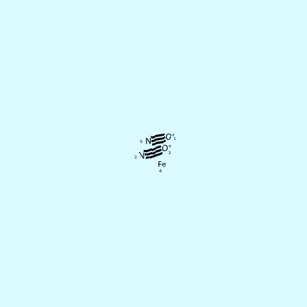 N#[O+].N#[O+].[Fe]